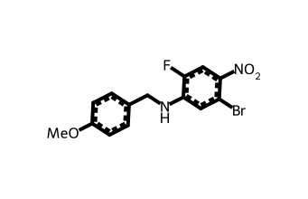 COc1ccc(CNc2cc(Br)c([N+](=O)[O-])cc2F)cc1